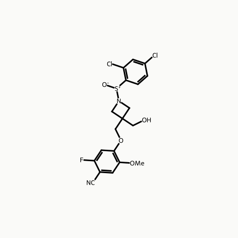 COc1cc(C#N)c(F)cc1OCC1(CO)CN([S+]([O-])c2ccc(Cl)cc2Cl)C1